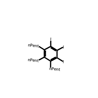 CCCCCc1c(I)c(I)c(I)c(CCCCC)c1CCCCC